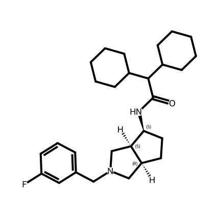 O=C(N[C@H]1CC[C@H]2CN(Cc3cccc(F)c3)C[C@H]21)C(C1CCCCC1)C1CCCCC1